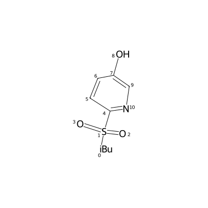 CCC(C)S(=O)(=O)c1ccc(O)cn1